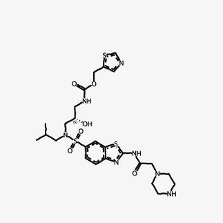 CC(C)CN(C[C@@H](O)CNC(=O)OCc1cncs1)S(=O)(=O)c1ccc2nc(NC(=O)CN3CCNCC3)sc2c1